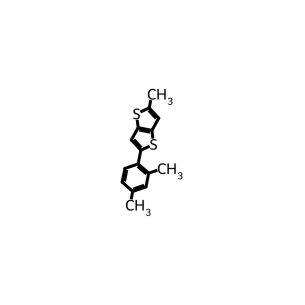 Cc1ccc(-c2cc3sc(C)cc3s2)c(C)c1